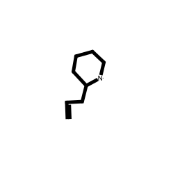 C=CCC1CCCC[N]1